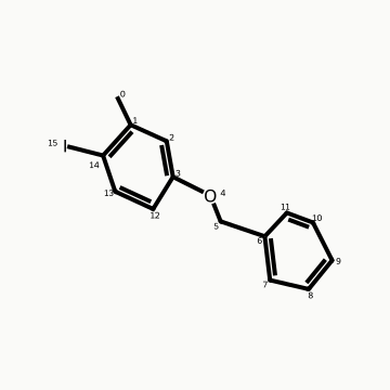 Cc1cc(OCc2ccccc2)ccc1I